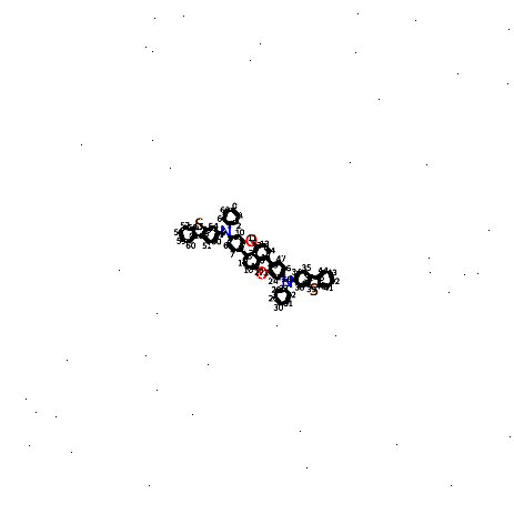 c1ccc(N(c2ccc3c(c2)Oc2ccc4c5c(ccc-3c25)Oc2cc(N(c3ccccc3)c3ccc5c(c3)sc3ccccc35)ccc2-4)c2ccc3c(c2)sc2ccccc23)cc1